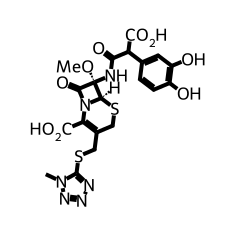 CO[C@@]1(NC(=O)C(C(=O)O)c2ccc(O)c(O)c2)C(=O)N2C(C(=O)O)=C(CSc3nnnn3C)CS[C@@H]21